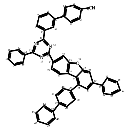 N#Cc1ccc(-c2cccc(-c3nc(-c4ccccc4)nc(-c4ccc5c(c4)oc4cc(-c6ccccc6)cc(-c6ccc(-c7ccccc7)cc6)c45)n3)c2)cc1